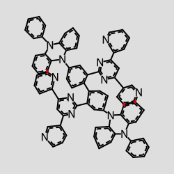 c1ccc(N2c3ccccc3N(c3ccc(-c4ccc(N5c6ccccc6N(c6ccccc6)c6ccccc65)cc4-c4nc(-c5cccnc5)cc(-c5ccccn5)n4)c(-c4nc(-c5cccnc5)cc(-c5ccccn5)n4)c3)c3ccccc32)cc1